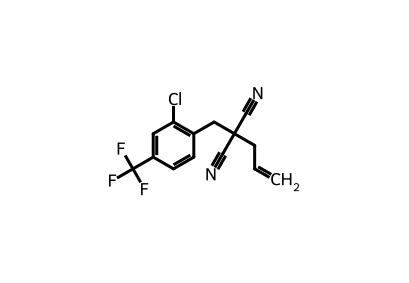 C=CCC(C#N)(C#N)Cc1ccc(C(F)(F)F)cc1Cl